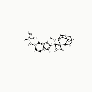 COC1(c2cc3cc(OP(C)(=O)O)ccc3s2)OOC12C1CC3CC(C1)CC2C3